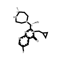 CCC[C@H](c1nc2ncc(F)cc2c(=O)n1CC1CC1)N1CCN[C@H](C)CC1